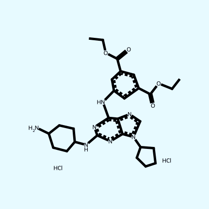 CCOC(=O)c1cc(Nc2nc(NC3CCC(N)CC3)nc3c2ncn3C2CCCC2)cc(C(=O)OCC)c1.Cl.Cl